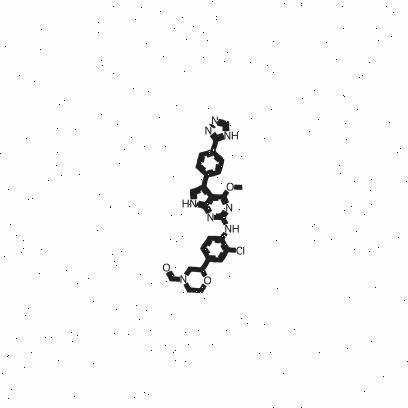 COc1nc(Nc2ccc(C3CN(C=O)CCO3)cc2Cl)nc2[nH]cc(-c3ccc(-c4nnc[nH]4)cc3)c12